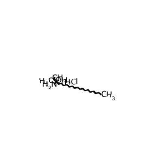 CCCCCCCCCCCCCCCCCCC(N)(O)C(C)C.Cl